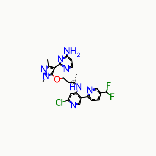 Cc1nn(C)c(OCC[C@H](C)Nc2cc(Cl)ncc2-c2ccc(C(F)F)cn2)c1-c1nccc(N)n1